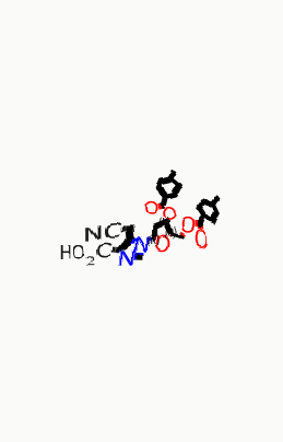 Cc1ccc(C(=O)OC[C@H]2O[C@@H](n3cnc(C(=O)O)c3CC#N)C[C@@H]2OC(=O)c2ccc(C)cc2)cc1